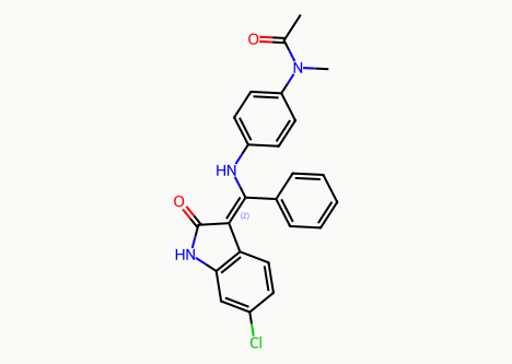 CC(=O)N(C)c1ccc(N/C(=C2\C(=O)Nc3cc(Cl)ccc32)c2ccccc2)cc1